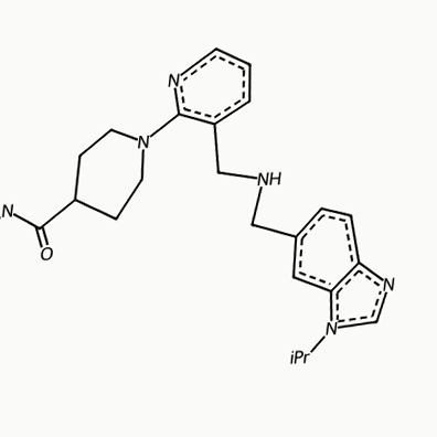 CC(C)n1cnc2ccc(CNCc3cccnc3N3CCC(C(N)=O)CC3)cc21